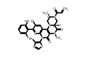 C=CC(=O)N1C[C@@H]2C(=O)N(C)c3c(c4cc(Cl)c(-c5c(O)cccc5F)nc4n(-c4scnc4C(C)C)c3=O)N2C[C@H]1C